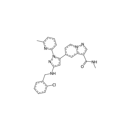 CNC(=O)c1cnn2ccc(-c3cc(NCc4ccccc4Cl)nn3-c3cccc(C)n3)cc12